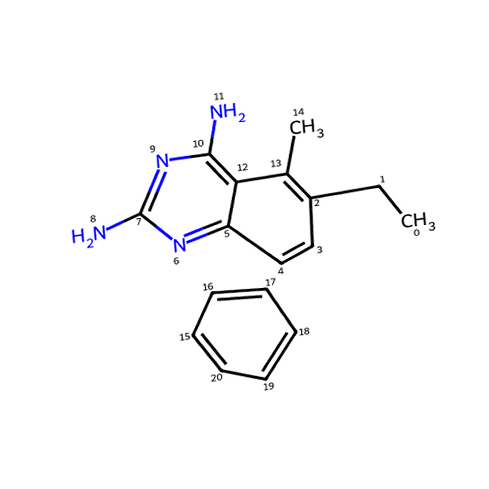 CCc1ccc2nc(N)nc(N)c2c1C.c1ccccc1